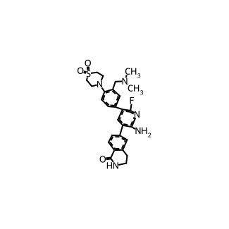 CN(C)Cc1cc(-c2cc(-c3ccc4c(c3)CCNC4=O)c(N)nc2F)ccc1N1CCS(=O)(=O)CC1